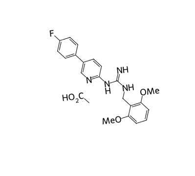 CC(=O)O.COc1cccc(OC)c1CNC(=N)Nc1ccc(-c2ccc(F)cc2)cn1